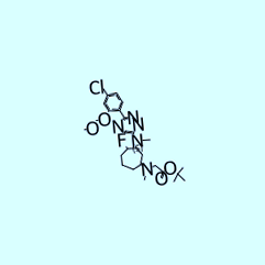 COCOc1cc(Cl)ccc1-c1ncc(N(C)[C@H]2CC(N(C)CC(=O)OC(C)(C)C)CCCC2F)nn1